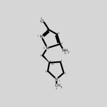 CN1CC[C@H](Cn2nc(Cl)cc2N)C1